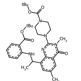 Cc1cc(C(C)Nc2ccccc2C(=O)OC(C)(C)C)c2nc(N3CCN(C(=O)OC(C)(C)C)CC3)n(C)c(=O)c2c1